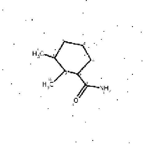 CC1CCCC(C(N)=O)C1C